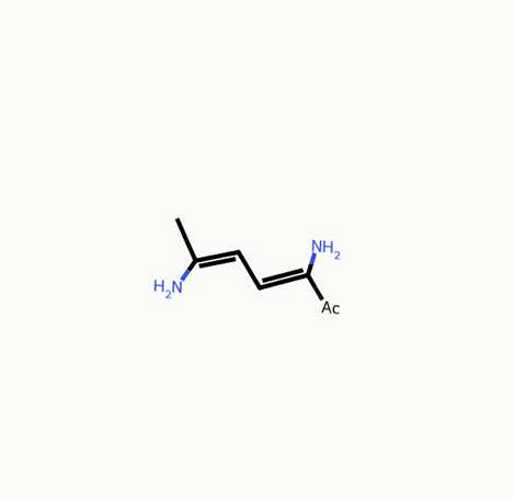 CC(=O)/C(N)=C/C=C(/C)N